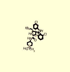 CC(C)(C)C[C@@H]1N[C@@H](C(=O)NC2CC[Si](C)(O)CC2)[C@H](c2cccc(Cl)c2F)[C@]12C(=O)Nc1cc(Cl)ccc12